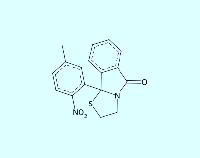 Cc1ccc([N+](=O)[O-])c(C23SCCN2C(=O)c2ccccc23)c1